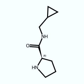 O=C(NCC1CC1)[C@H]1CCCN1